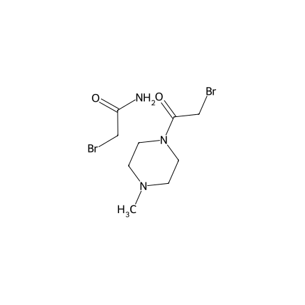 CN1CCN(C(=O)CBr)CC1.NC(=O)CBr